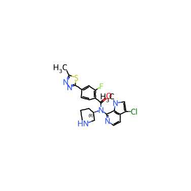 Cc1nnc(-c2ccc(C(=O)N(c3nccc4c(Cl)cn(C)c34)[C@@H]3CCCNC3)c(F)c2)s1